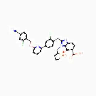 N#Cc1ccc(COc2cccc(-c3ccc(Cc4nc5ccc(C(=O)O)cc5n4CC4=CC=CS4(=O)=O)c(F)c3)n2)c(F)c1